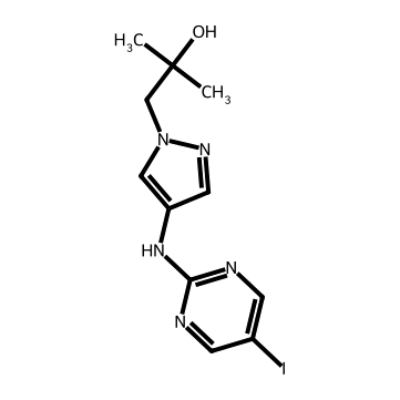 CC(C)(O)Cn1cc(Nc2ncc(I)cn2)cn1